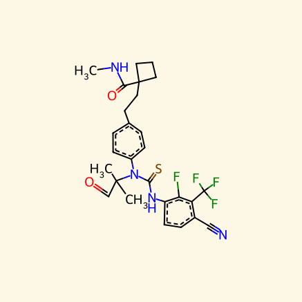 CNC(=O)C1(CCc2ccc(N(C(=S)Nc3ccc(C#N)c(C(F)(F)F)c3F)C(C)(C)C=O)cc2)CCC1